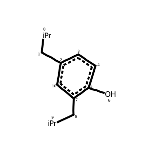 CC(C)Cc1ccc(O)c(CC(C)C)c1